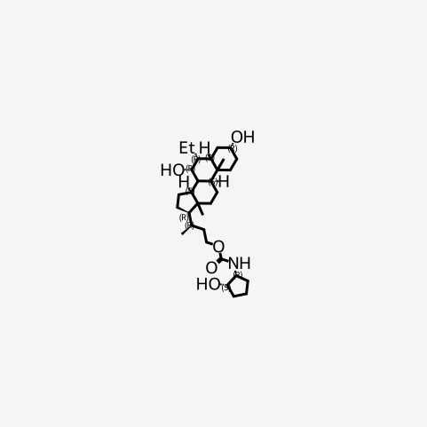 CC[C@H]1[C@@H](O)C2[C@@H]3CC[C@H]([C@H](C)CCOC(=O)N[C@@H]4CCC[C@@H]4O)C3(C)CC[C@@H]2C2(C)CC[C@@H](O)C[C@@H]12